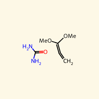 C=C=C(OC)OC.NC(N)=O